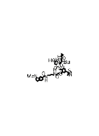 CN[C@@H]1CCc2ccc(C(=O)NCCCCNC(=O)COc3cc(-c4scnc4C)ccc3CNC(=O)[C@@H]3C[C@@H](O)CN3C(=O)[C@@H](NC(=O)C3(F)CC3)C(C)(C)C)cc21